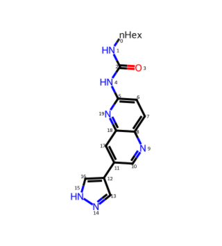 CCCCCCNC(=O)Nc1ccc2ncc(-c3cn[nH]c3)cc2n1